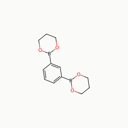 c1cc(B2OCCCO2)cc(B2OCCCO2)c1